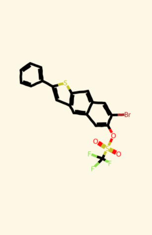 O=S(=O)(Oc1cc2cc3cc(-c4ccccc4)sc3cc2cc1Br)C(F)(F)F